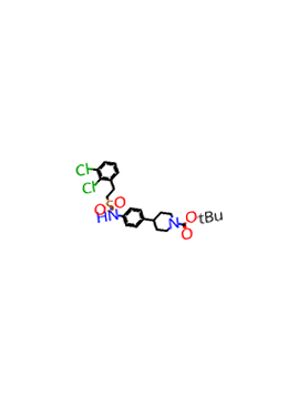 CC(C)(C)OC(=O)N1CCC(c2ccc(NS(=O)(=O)CCc3cccc(Cl)c3Cl)cc2)CC1